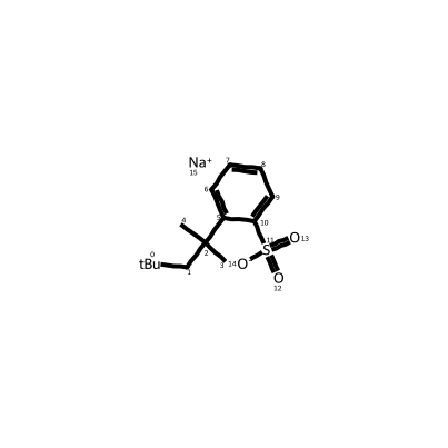 CC(C)(C)CC(C)(C)c1ccccc1S(=O)(=O)[O-].[Na+]